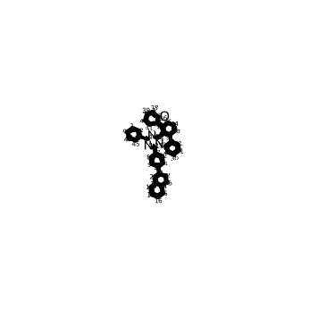 c1ccc(-c2nc(-c3ccc(-c4ccc5ccccc5c4)cc3)nc(-c3c(-c4ccccc4)ccc4oc5ccccc5c34)n2)cc1